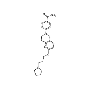 NC(=O)c1ccc(N2CCc3nc(OCCCN4CCCC4)ccc3C2)cn1